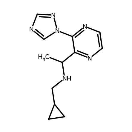 CC(NCC1CC1)c1nccnc1-n1cncn1